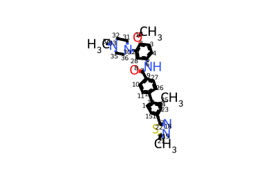 COc1ccc(NC(=O)c2ccc(-c3ccc(-c4nnc(C)s4)cc3C)cc2)cc1N1CCN(C)CC1